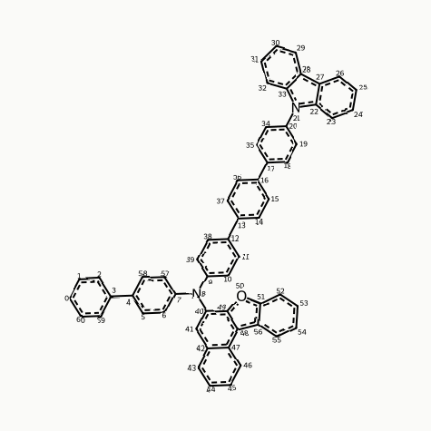 c1ccc(-c2ccc(N(c3ccc(-c4ccc(-c5ccc(-n6c7ccccc7c7ccccc76)cc5)cc4)cc3)c3cc4ccccc4c4c3oc3ccccc34)cc2)cc1